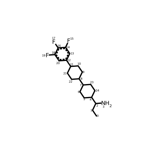 CCC(N)C1CCC(C2CCC(c3cc(F)c(F)c(F)c3)CC2)CC1